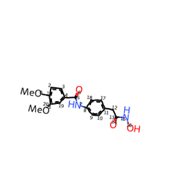 COc1ccc(C(=O)Nc2ccc(CC(=O)NO)cc2)cc1OC